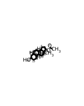 CC(=O)O[C@H]1CC[C@H]2[C@@H]3CC[C@H]4C[C@@H](O)CC[C@]4(C)[C@H]3CC[C@]12C